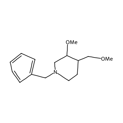 COCC1CCN(Cc2ccccc2)CC1OC